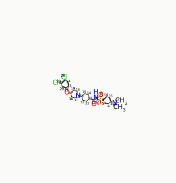 CN(C)c1ccc(S(=O)(=O)NC(=O)C2CCC(N3CCC(Oc4ccc(Cl)c(Cl)c4)CC3)CC2)cc1